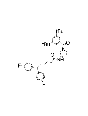 CC(C)(C)c1cc(C(=O)N2CC[C@H](NC(=O)CCCCC(c3ccc(F)cc3)c3ccc(F)cc3)C2)cc(C(C)(C)C)c1